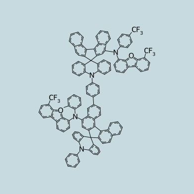 Cc1ccccc1N(c1cc2c(c3ccc(-c4ccc(N5c6ccccc6C6(c7ccccc75)c5ccc7ccccc7c5-c5c6cc(N(c6ccc(C(F)(F)F)cc6)c6cccc7c6oc6c(C(F)(F)F)cccc67)c6ccccc56)cc4)cc13)-c1c(ccc3ccccc13)C21c2ccccc2N(c2ccccc2)c2ccccc21)c1cccc2c1oc1c(C(F)(F)F)cccc12